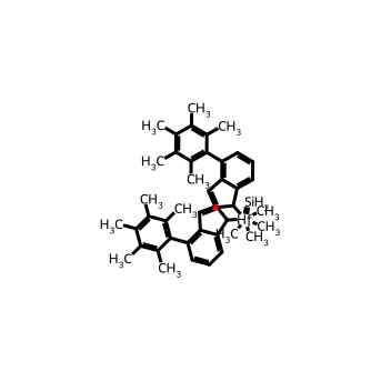 Cc1c(C)c(C)c(-c2cccc3c2C=C[CH]3[Hf]([CH3])([CH3])([CH3])([CH3])(=[SiH2])[CH]2C=Cc3c(-c4c(C)c(C)c(C)c(C)c4C)cccc32)c(C)c1C